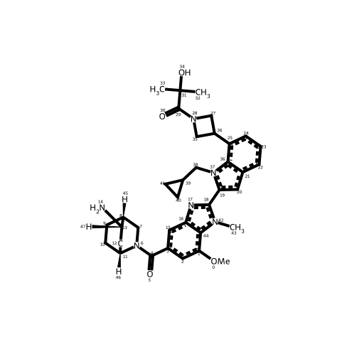 COc1cc(C(=O)N2C[C@H]3CC[C@@H]2C[C@@H]3N)cc2nc(-c3cc4cccc(C5CN(C(=O)C(C)(C)O)C5)c4n3CC3CC3)n(C)c12